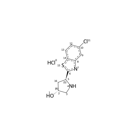 Cl.O[C@H]1CN[C@H](c2nc3cc(Cl)ccc3s2)C1